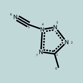 Cc1nnn(C#N)n1